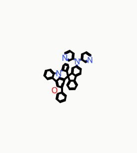 c1cncc(N(c2cccnc2)c2ccc3c(c2)C2(c4ccccc4-3)c3ccccc3-n3c4ccccc4c4c5oc6ccccc6c5cc2c43)c1